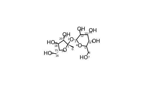 C[C@@]1(O[C@H]2OC(CO)[C@@H](O)[C@@H](O)C2O)O[C@H](CO)C(O)[C@H]1O